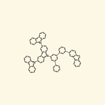 c1ccc(-c2cc(-c3cccc(-c4ccc5sc6ccccc6c5c4)c3)cc(-n3c4ccc(-n5c6ccccc6c6ccccc65)cc4c4cc(-n5c6ccccc6c6ccccc65)ccc43)c2)cc1